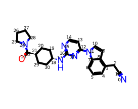 N#CCc1cccc2c1ccn2-c1ccnc(N[C@H]2CC[C@H](C(=O)N3CCCC3)CC2)n1